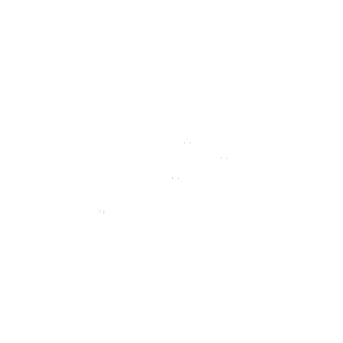 Cc1ccc(S(=O)(=O)OC(C(=O)OC(C)(C)C)c2ccccc2)cc1